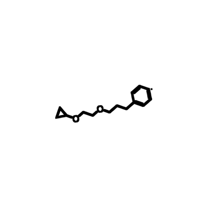 [c]1ccc(CCCOCCOC2CC2)cc1